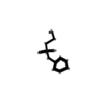 O=S(=O)(CCO)Cc1ccccc1